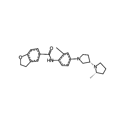 Cc1cc(N2CC[C@H](N3CCC[C@@H]3C)C2)ccc1NC(=O)c1ccc2c(c1)CCO2